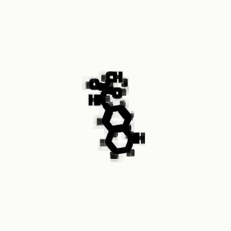 CS(=O)(=O)Nc1ccc2c(c1)CCCN2